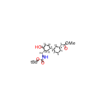 COC(=O)Cc1cccc(-c2ccc(O)c(CNC(=O)OC(C)(C)C)c2)c1